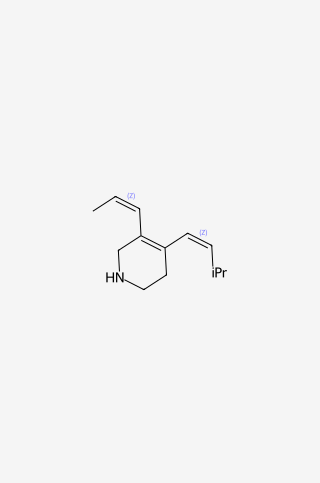 C/C=C\C1=C(/C=C\C(C)C)CCNC1